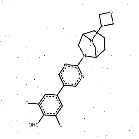 O=Cc1c(F)cc(-c2cnc(N3CC4CCCC3CN4C3COC3)nc2)cc1F